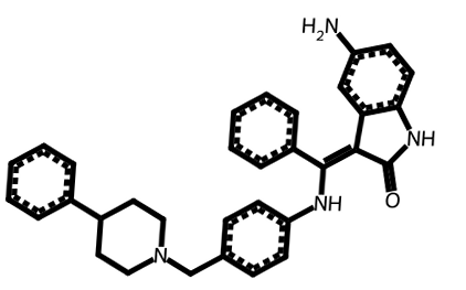 Nc1ccc2c(c1)/C(=C(/Nc1ccc(CN3CCC(c4ccccc4)CC3)cc1)c1ccccc1)C(=O)N2